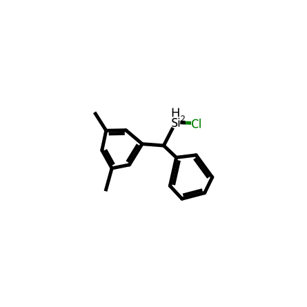 Cc1cc(C)cc(C([SiH2]Cl)c2ccccc2)c1